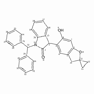 O=C1C(c2cc3c(cc2O)OC2(CC2)C3)c2ccccc2N1C(c1ccccc1)c1ccccc1